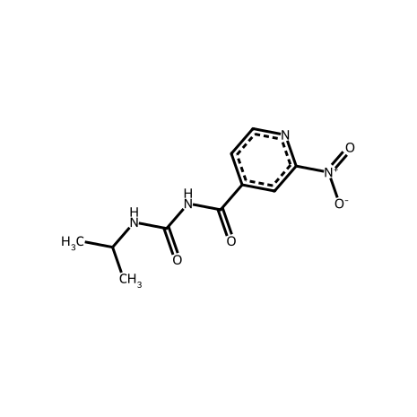 CC(C)NC(=O)NC(=O)c1ccnc([N+](=O)[O-])c1